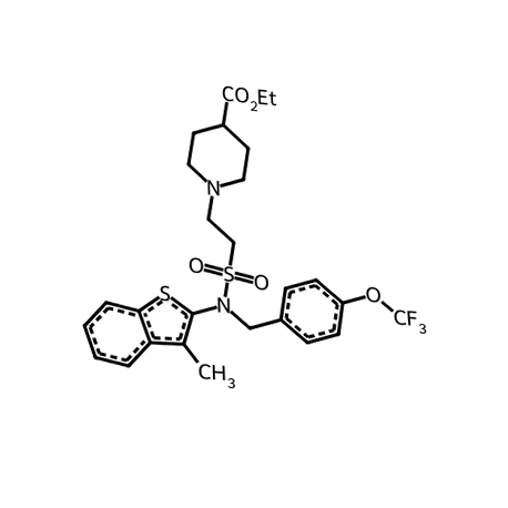 CCOC(=O)C1CCN(CCS(=O)(=O)N(Cc2ccc(OC(F)(F)F)cc2)c2sc3ccccc3c2C)CC1